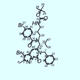 Cc1nn2c(=O)n(Cc3ccccc3)c([C@@H](C(C)C)N(CCCNC(=O)OC(C)(C)C)C(=O)c3ccc(Br)cc3)cc2c1Br